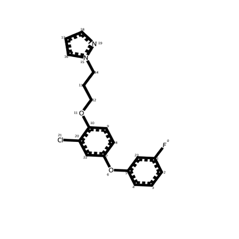 Fc1cccc(Oc2ccc(OCCCn3cccn3)c(Cl)c2)c1